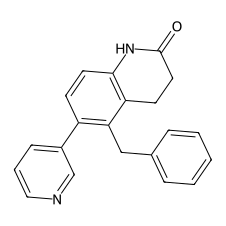 O=C1CCc2c(ccc(-c3cccnc3)c2Cc2ccccc2)N1